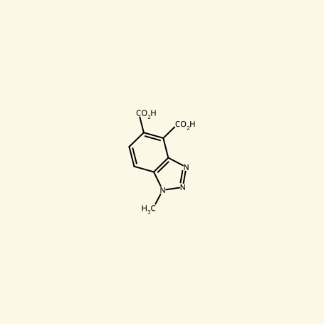 Cn1nnc2c(C(=O)O)c(C(=O)O)ccc21